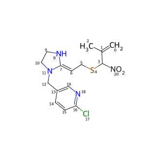 C=C(C)C(SCC=C1NCCN1Cc1ccc(Cl)nc1)[N+](=O)[O-]